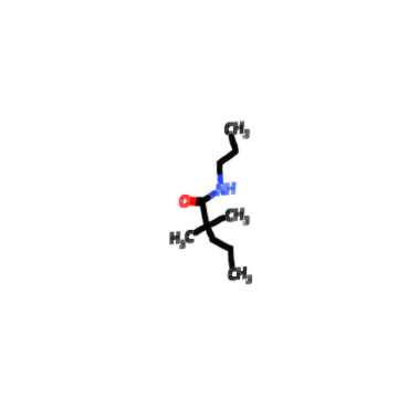 CCCNC(=O)C(C)(C)CCC